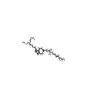 CCCN(C)CCCCn1nnc2c1CCC1C(CC2)C1COC(=O)NCCOCCO